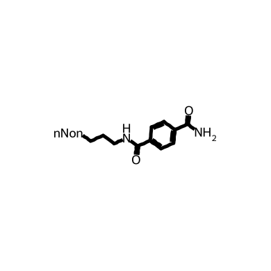 CCCCCCCCCCCCNC(=O)c1ccc(C(N)=O)cc1